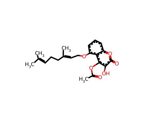 CC(=O)Oc1c(O)c(=O)oc2cccc(OC/C=C(\C)CCC=C(C)C)c12